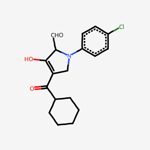 O=CC1C(O)=C(C(=O)C2CCCCC2)CN1c1ccc(Cl)cc1